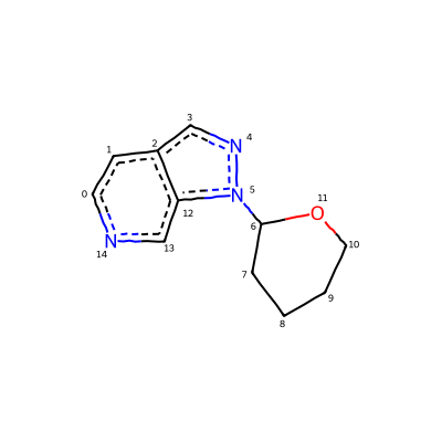 c1cc2cnn(C3CCCCO3)c2cn1